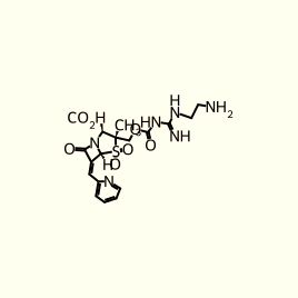 C[C@]1(COC(=O)NC(=N)NCCN)[C@H](C(=O)O)N2C(=O)/C(=C/c3ccccn3)[C@H]2S1(=O)=O